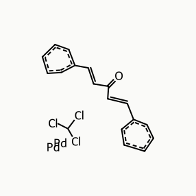 ClC(Cl)Cl.O=C(C=Cc1ccccc1)C=Cc1ccccc1.[Pd].[Pd]